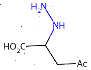 CC(=O)CC(NN)C(=O)O